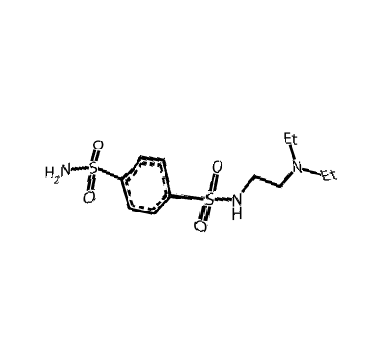 CCN(CC)CCNS(=O)(=O)c1ccc(S(N)(=O)=O)cc1